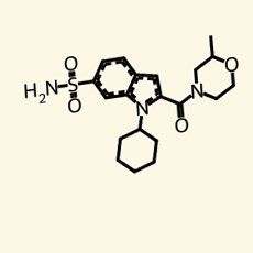 CC1CN(C(=O)c2cc3ccc(S(N)(=O)=O)cc3n2C2CCCCC2)CCO1